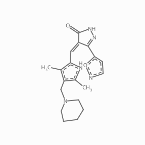 Cc1[nH]c(/C=C2/C(=O)NN=C2c2ccno2)c(C)c1CN1CCCCC1